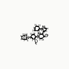 COc1cc(N2CC3CCC(C2)O3)ccc1-n1ccc(=O)c(-c2ccnn2-c2ccccc2)n1